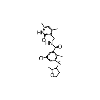 Cc1cc(C)c(CNC(=O)c2cc(Cl)cc(SC3CCOC3C)c2C)c(=O)[nH]1